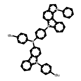 CC(C)(C)c1ccc(N(c2ccc(-n3c4ccccc4c4c5c(ccc43)ccn5-c3ccccc3)cc2)c2ccc3c(c2)c2ccccc2n3-c2ccc(C(C)(C)C)cc2)cc1